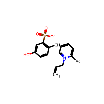 C=CC[n+]1ccccc1C(C)=O.Cc1ccc(O)cc1S(=O)(=O)[O-]